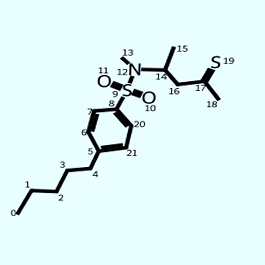 CCCCCc1ccc(S(=O)(=O)N(C)C(C)CC(C)=S)cc1